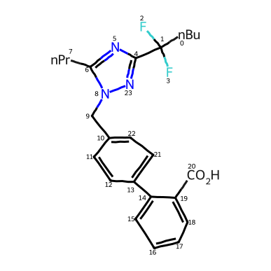 CCCCC(F)(F)c1nc(CCC)n(Cc2ccc(-c3ccccc3C(=O)O)cc2)n1